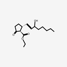 CCCCCC(O)C=C[C@H]1CCC(=O)[C@@H]1C(=O)OCC